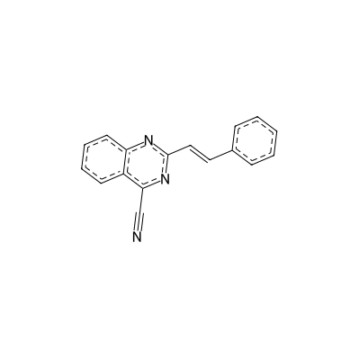 N#Cc1nc(C=Cc2ccccc2)nc2ccccc12